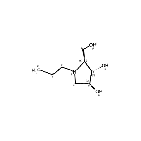 CCCN1C[C@H](O)[C@@H](O)[C@@H]1CO